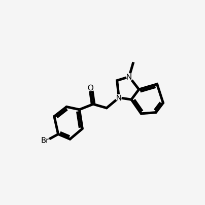 CN1CN(CC(=O)c2ccc(Br)cc2)c2ccccc21